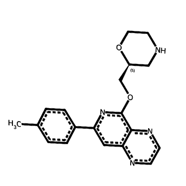 Cc1ccc(-c2cc3nccnc3c(OC[C@@H]3CNCCO3)n2)cc1